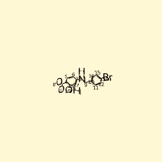 COC(=O)c1ccc(NCc2ccc(Br)cc2)cc1O